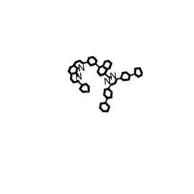 c1ccc(-c2ccc(-c3cc(-c4ccc(-c5ccccc5)cc4)nc(-c4ccc(-c5cccc(-c6ccc7ccc8ccc(-c9ccccc9)nc8c7n6)c5)c5ccccc45)n3)cc2)cc1